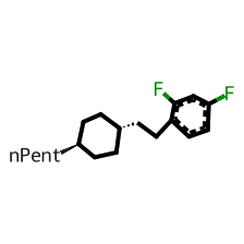 CCCCC[C@H]1CC[C@H](CCc2ccc(F)cc2F)CC1